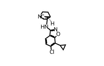 Clc1ccc2c(N[C@H]3CN4CCC3CC4)noc2c1C1CC1